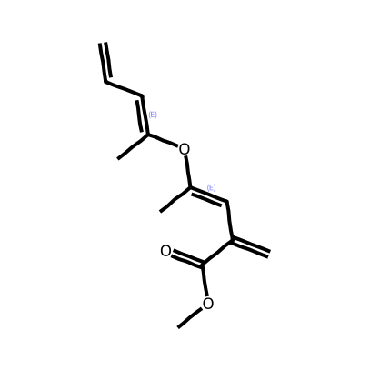 C=C/C=C(\C)O/C(C)=C/C(=C)C(=O)OC